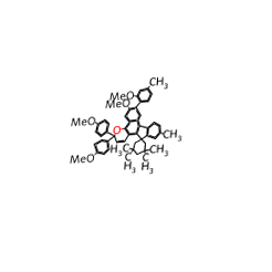 COc1ccc(C2(c3ccc(OC)cc3)C=Cc3c4c(c5cc(-c6ccc(C)cc6OC)c(OC)cc5c3O2)-c2ccc(C)cc2C42CC(C)(C)CC(C)(C)C2)cc1